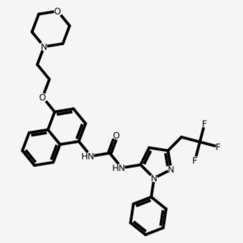 O=C(Nc1ccc(OCCN2CCOCC2)c2ccccc12)Nc1cc(CC(F)(F)F)nn1-c1ccccc1